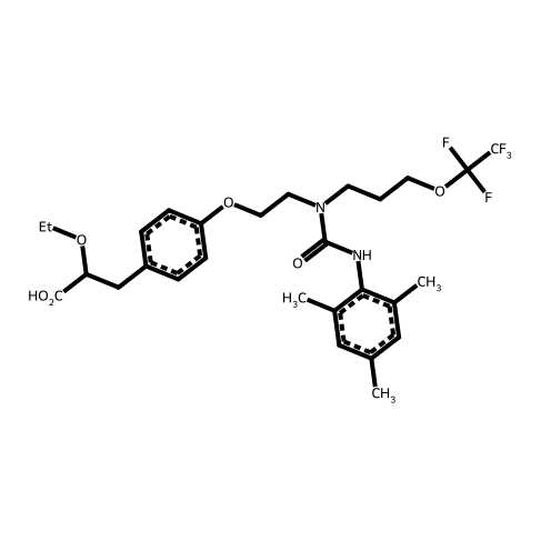 CCOC(Cc1ccc(OCCN(CCCOC(F)(F)C(F)(F)F)C(=O)Nc2c(C)cc(C)cc2C)cc1)C(=O)O